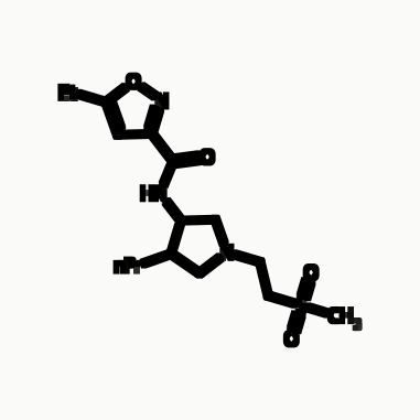 CCCC1CN(CCS(C)(=O)=O)CC1NC(=O)c1cc(CC)on1